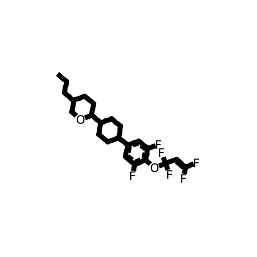 CCCC1CCC(C2CCC(c3cc(F)c(OC(F)(F)C=C(F)F)c(F)c3)CC2)OC1